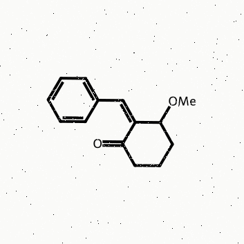 COC1CCCC(=O)/C1=C\c1ccccc1